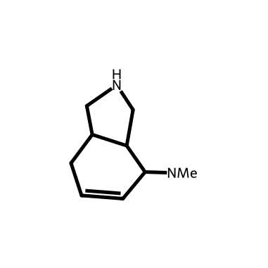 CNC1C=CCC2CNCC21